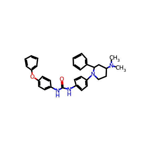 CN(C)C1CCN(c2ccc(NC(=O)Nc3ccc(Oc4ccccc4)cc3)cc2)C(c2ccccc2)C1